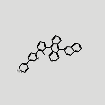 Cc1c(-c2ccc(C3=CCNC=C3)cn2)cccc1-c1c2ccccc2c(-c2ccc3ccccc3c2)c2ccccc12